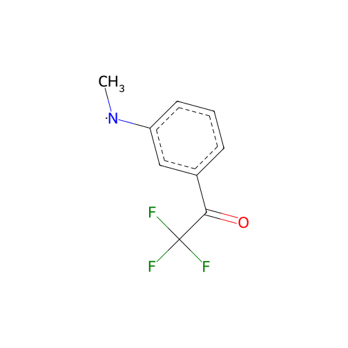 C[N]c1cccc(C(=O)C(F)(F)F)c1